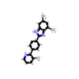 FC(F)(F)c1cc(C(F)(F)F)c2nc(-c3ccc(-c4ncccc4Cl)cc3)[nH]c2c1